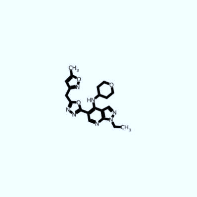 CCn1ncc2c(NC3CCOCC3)c(-c3nnc(Cc4cc(C)on4)o3)cnc21